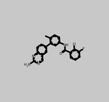 Cc1ccc(NC(=O)c2cccc(F)c2Cl)cc1-c1ccc2nc(N)ncc2c1